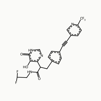 O=C(NCC(F)F)C(Cc1ccc(C#Cc2ccc(C(F)(F)F)nc2)cc1)c1nc[nH]c(=O)c1O